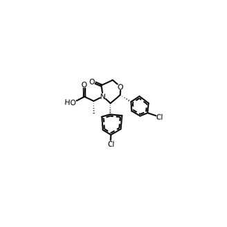 C[C@H](C(=O)O)N1C(=O)CO[C@H](c2ccc(Cl)cc2)[C@@H]1c1ccc(Cl)cc1